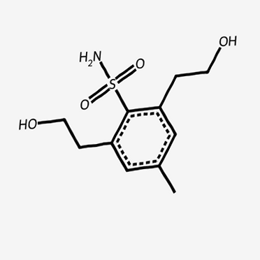 Cc1cc(CCO)c(S(N)(=O)=O)c(CCO)c1